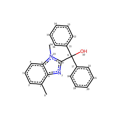 Cc1cccc2c1nc(C(O)(c1ccccc1)c1ccccc1)n2C